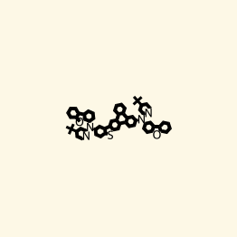 CC(C)(C)c1ccnc(N(c2ccc3oc4ccccc4c3c2)c2ccc3c(c2)c2ccccc2c2cc4c(cc32)sc2ccc(N(c3cc(C(C)(C)C)ccn3)c3cccc5c3oc3ccccc35)cc24)c1